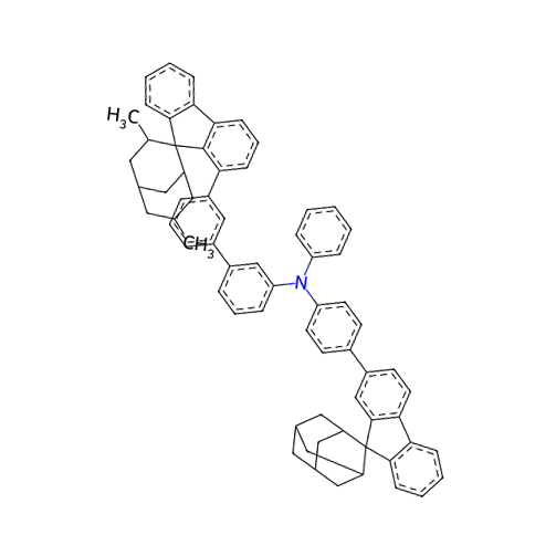 CC1CC2CC(C)C3(c4ccccc4-c4cccc(-c5cccc(-c6cccc(N(c7ccccc7)c7ccc(-c8ccc9c(c8)C8(c%10ccccc%10-9)C9CC%10CC(C9)CC8C%10)cc7)c6)c5)c43)C(C1)C2